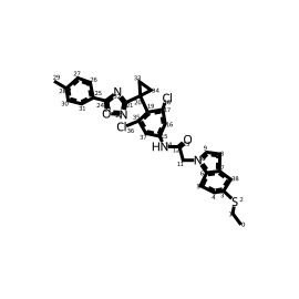 CCSc1ccc2c(ccn2CC(=O)Nc2cc(Cl)c(C3(c4noc(-c5ccc(C)cc5)n4)CC3)c(Cl)c2)c1